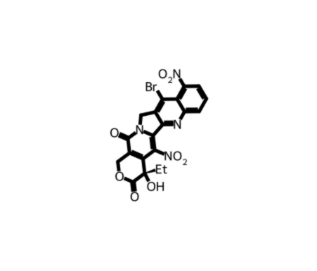 CC[C@@]1(O)C(=O)OCc2c1c([N+](=O)[O-])c1n(c2=O)Cc2c-1nc1cccc([N+](=O)[O-])c1c2Br